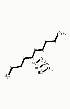 [CH2]C([CH2])([CH2])CCCCCCCCC(=O)O.[CH2]C([CH2])([CH2])[CH2].[CH2]C([CH2])([CH2])[CH2].[CH2]C([CH2])([CH2])[CH2]